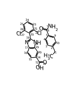 CCc1ccc(C(N)=O)cc1.O=C(O)c1ccc2nc(-c3c(Cl)cccc3Cl)[nH]c2c1